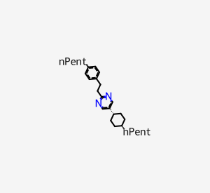 CCCCCc1ccc(CCc2ncc([C@H]3CC[C@H](CCCCC)CC3)cn2)cc1